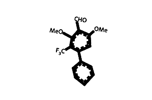 COc1cc(-c2ccccc2)c(C(F)(F)F)c(OC)c1C=O